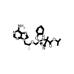 CC(C)OC(=O)C(C)(C#N)NP(=O)(CO[C@H](C)Cn1cnc2c(N)ncnc21)Oc1ccccc1